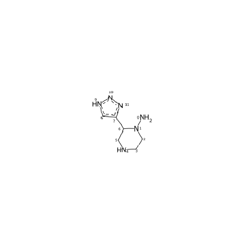 NN1CCNCC1c1c[nH]nn1